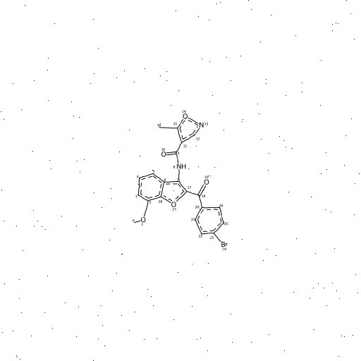 COc1cccc2c(NC(=O)c3cnoc3C)c(C(=O)c3ccc(Br)cc3)oc12